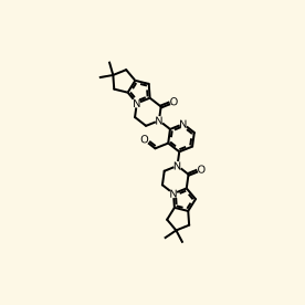 CC1(C)Cc2cc3n(c2C1)CCN(c1ccnc(N2CCn4c(cc5c4CC(C)(C)C5)C2=O)c1C=O)C3=O